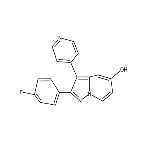 Oc1ccn2nc(-c3ccc(F)cc3)c(-c3ccncc3)c2c1